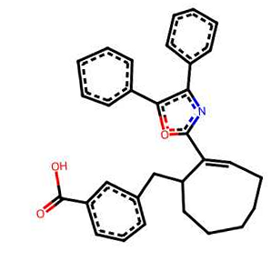 O=C(O)c1cccc(CC2CCCCCC=C2c2nc(-c3ccccc3)c(-c3ccccc3)o2)c1